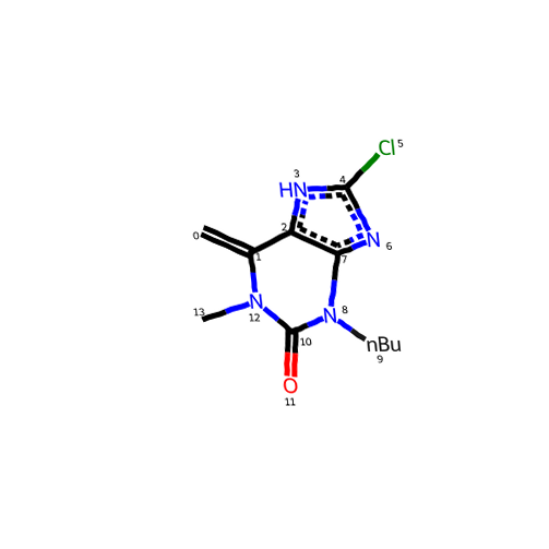 C=C1c2[nH]c(Cl)nc2N(CCCC)C(=O)N1C